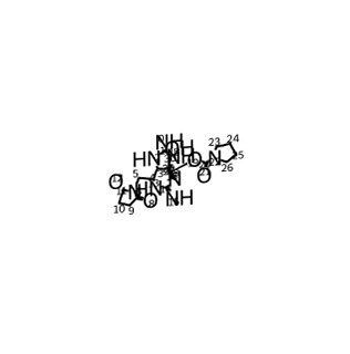 N=C1NC2C(CN3C(=O)CCC3=O)NC(=N)N3C[C@H](OC(=O)N4CCCC4)C(O)C23N1